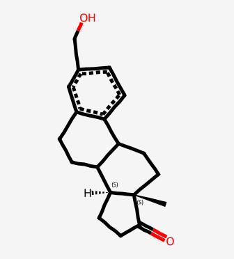 C[C@]12CCC3c4ccc(CO)cc4CCC3[C@@H]1CCC2=O